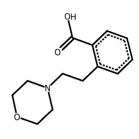 O=C(O)c1ccccc1CCN1CCOCC1